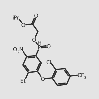 CCc1cc([N+](=O)[O-])c([PH](=O)OCC(=O)OC(C)C)cc1Oc1ccc(C(F)(F)F)cc1Cl